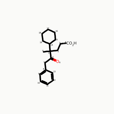 CC(CCC(=O)O)(C(=O)Cc1ccccc1)C1CCCCC1